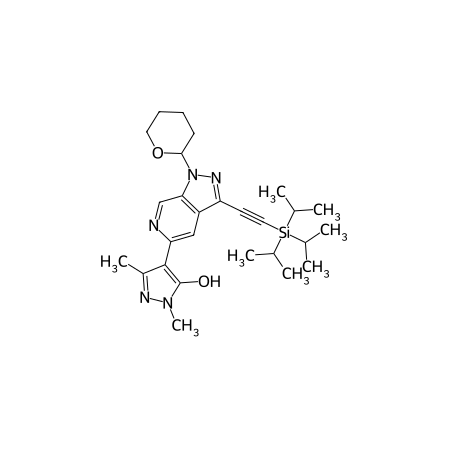 Cc1nn(C)c(O)c1-c1cc2c(C#C[Si](C(C)C)(C(C)C)C(C)C)nn(C3CCCCO3)c2cn1